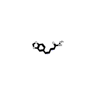 CCCNC(=O)/C=C/C=C\c1ccc2c(c1)OCO2